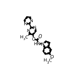 COc1ccc2c(ccn2NC(=O)Oc2cnc(-c3ncccn3)nc2C)c1